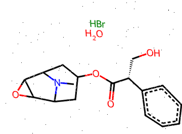 Br.CN1C2CC(OC(=O)[C@H](CO)c3ccccc3)CC1C1OC12.O